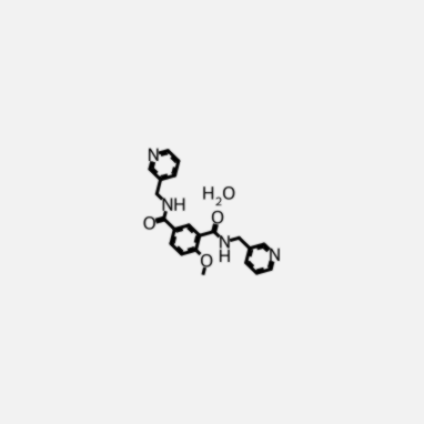 COc1ccc(C(=O)NCc2cccnc2)cc1C(=O)NCc1cccnc1.O